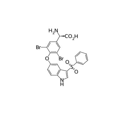 N[C@@H](C(=O)O)c1cc(Br)c(Oc2ccc3[nH]cc(S(=O)(=O)c4ccccc4)c3c2)c(Br)c1